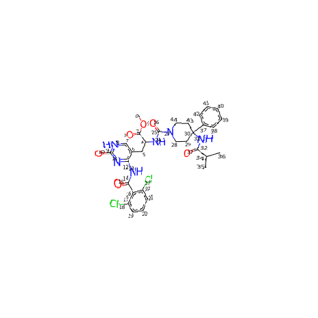 COC(=O)C(Cc1c[nH]c(=O)nc1NC(=O)c1c(Cl)cccc1Cl)NC(=O)N1CCC(NC(=O)C(C)C)(c2ccccc2)CC1